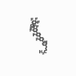 C=CCCc1ccc(-c2ccc(-c3ccc(-c4cc(F)c(C(F)(F)Oc5cc(F)c(F)c(F)c5)c(F)c4)c(F)c3)c(F)c2)nc1